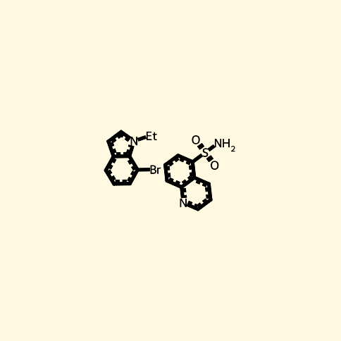 CCn1ccc2cccc(Br)c21.NS(=O)(=O)c1cccc2ncccc12